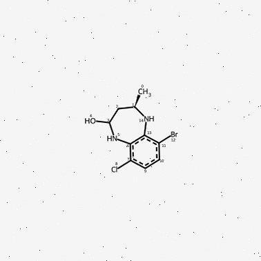 C[C@@H]1CC(O)Nc2c(Cl)ccc(Br)c2N1